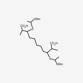 CCCCCCCCCCC(C)SC(CCCCCC(SC(C)CCCCCCCCCC)C(C)C(=O)O)C(C)C(=O)O